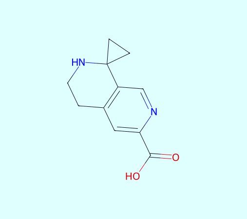 O=C(O)c1cc2c(cn1)C1(CC1)NCC2